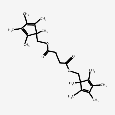 CC1=C(C)C(C)(COC(=O)CCC(=O)OCC2(C)C(C)=C(C)C(C)=C2C)C(C)=C1C